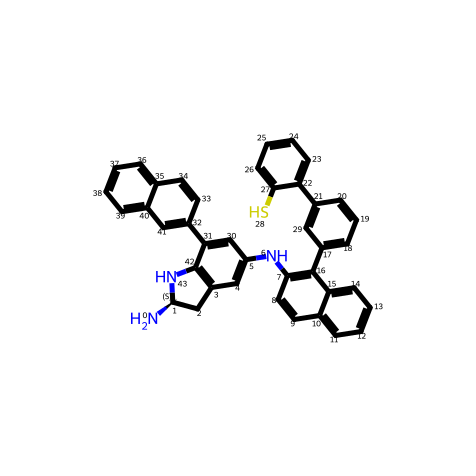 N[C@@H]1Cc2cc(Nc3ccc4ccccc4c3-c3cccc(-c4ccccc4S)c3)cc(-c3ccc4ccccc4c3)c2N1